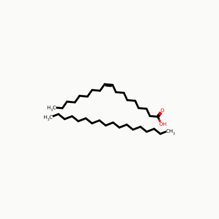 CCCCCCCC/C=C\CCCCCCCC(=O)O.CCCCCCCCCCCCCCCCCC